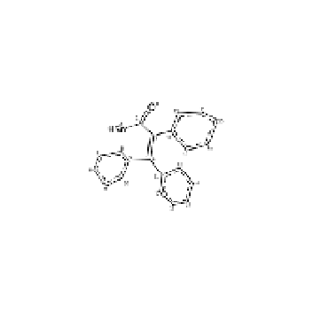 O=[C]([SnH])C(=C(c1ccccc1)c1ccccc1)c1ccccc1